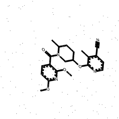 COc1ccc(C(=O)N2CC(Oc3nccc(C#N)c3C)CCC2C)c(OC)n1